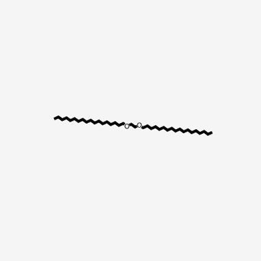 CCCCCCCCCCCCCCCCCCOCCOCCCCCCCCCCCCCCCCCC